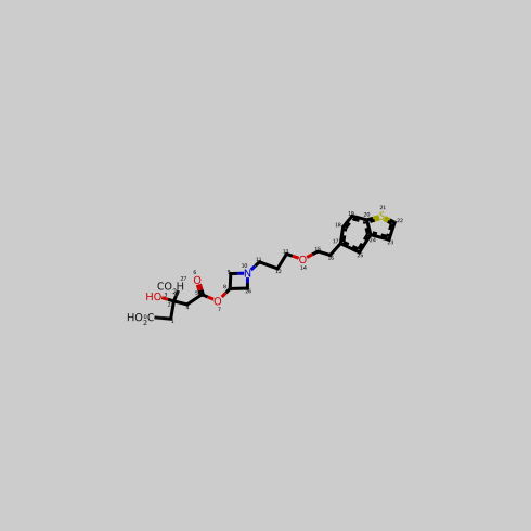 O=C(O)CC(O)(CC(=O)OC1CN(CCCOCCc2ccc3sccc3c2)C1)C(=O)O